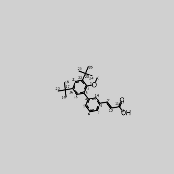 COc1c(-c2cccc(C=CC(=O)O)c2)cc(C(C)(C)C)cc1C(C)(C)C